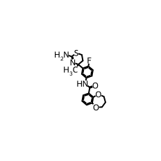 CC1(c2cc(NC(=O)c3cccc4c3OCCCO4)ccc2F)CCSC(N)=N1